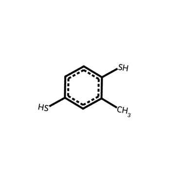 Cc1cc(S)ccc1S